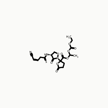 CCOC(=O)OC(C)OC(=O)C1(N2OC[C@H](NC(=S)C/C=C\C#N)C2=O)CCC(=O)O1